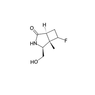 C[C@]12C(F)C[C@@H]1C(=O)N[C@@H]2CO